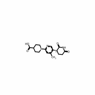 Cc1cc(N2CCC(C(=O)O)CC2)ncc1[C@@H]1CCC(=O)NC1=O